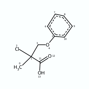 CC(Cl)(COc1ccccc1)C(=O)O